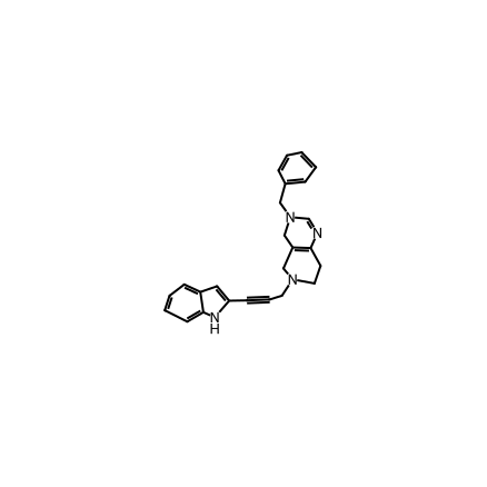 C(#Cc1cc2ccccc2[nH]1)CN1CCC2=C(CN(Cc3ccccc3)C=N2)C1